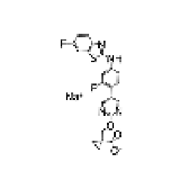 O=C([O-])C1(COc2ncc(-c3ccc(Nc4nc5ccc(F)cc5s4)cc3F)cn2)CC1.[Na+]